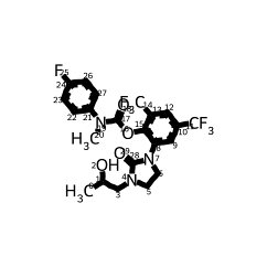 CC(O)CN1CCN(c2cc(C(F)(F)F)cc(C(F)(F)F)c2OC(=O)N(C)c2ccc(F)cc2)C1=O